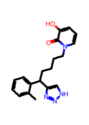 Cc1ccccc1C(CCCCn1cccc(O)c1=O)c1c[nH]nn1